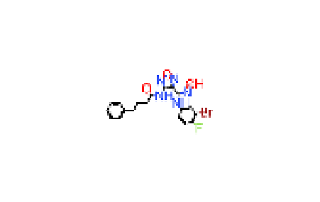 O=C(CCCc1ccccc1)Nc1nonc1/C(=N\O)Nc1ccc(F)c(Br)c1